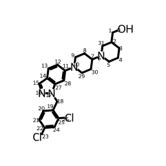 OCC1CCCN(C2CCN(c3ccc4cnn(Cc5ccc(Cl)cc5Cl)c4c3)CC2)C1